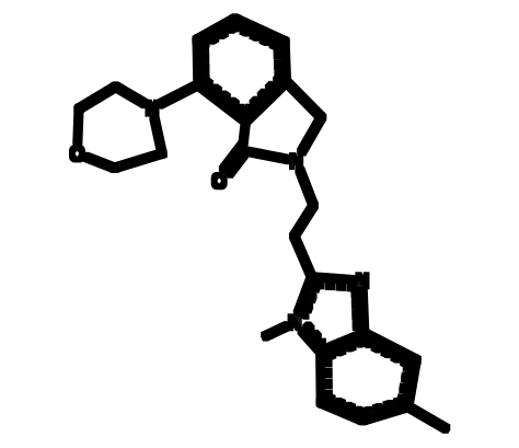 Cc1ccc2c(c1)nc(CCN1Cc3cccc(N4CCOCC4)c3C1=O)n2C